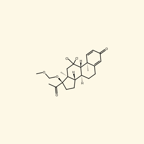 COCO[C@]1(C(C)=O)CC[C@H]2[C@@H]3CCC4=CC(=O)C=C[C@]4(C)[C@H]3C(Cl)(Cl)C[C@@]21C